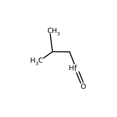 CC(C)[CH2][Hf]=[O]